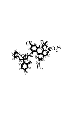 CC(F)(F)CC1c2c(nc(N)nc2-c2c(Cl)cc(Cl)cc2OCCC(O)(Cn2cncn2)c2ccc(F)cc2F)CN1C(=O)O